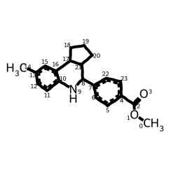 COC(=O)c1ccc(C2Nc3ccc(C)cc3C3CCCC32)cc1